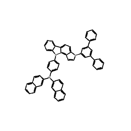 c1ccc(-c2cc(-c3ccccc3)cc(-n3ccc4c3ccc3c5ccccc5n(-c5ccc(N(c6ccc7ccccc7c6)c6ccc7ccccc7c6)cc5)c34)c2)cc1